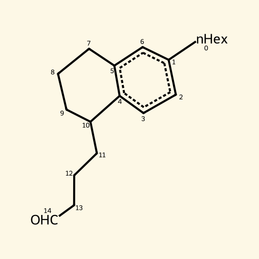 CCCCCCc1ccc2c(c1)CCCC2CCCC=O